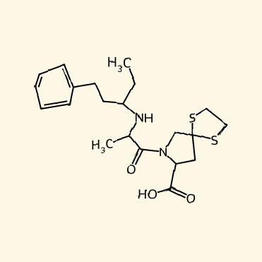 CCC(CCc1ccccc1)NC(C)C(=O)N1CC2(CC1C(=O)O)SCCS2